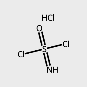 Cl.N=S(=O)(Cl)Cl